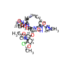 CCOc1ccc2c(O[C@@H]3C[C@H]4C(=O)N[C@]5(C(=O)NS(=O)(=O)C6(C)CC6)C[C@H]5/C=C\CCCCC[C@H](NC(=O)c5ccn(C)n5)C(=O)N4C3)cc(OC(C)C)nc2c1Cl